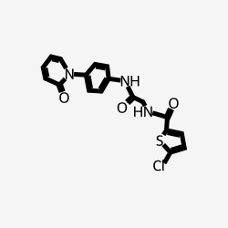 O=C(CNC(=O)c1ccc(Cl)s1)Nc1ccc(-n2ccccc2=O)cc1